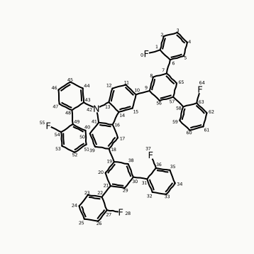 Fc1ccccc1-c1cc(-c2ccc3c(c2)c2cc(-c4cc(-c5ccccc5F)cc(-c5ccccc5F)c4)ccc2n3-c2ccccc2-c2ccccc2F)cc(-c2ccccc2F)c1